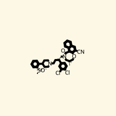 C[C@H]1COc2c(C#N)cc3ccccc3c2C(=O)N(C[C@@H](CCN2CCC(c3ccccc3[S@+](C)[O-])CC2)c2ccc(Cl)c(Cl)c2)C1